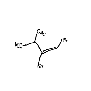 CCCC=C(CCC)C(OC(C)=O)OC(C)=O